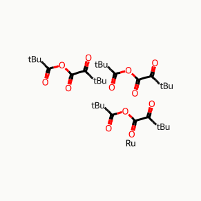 CC(C)(C)C(=O)OC(=O)C(=O)C(C)(C)C.CC(C)(C)C(=O)OC(=O)C(=O)C(C)(C)C.CC(C)(C)C(=O)OC(=O)C(=O)C(C)(C)C.[Ru]